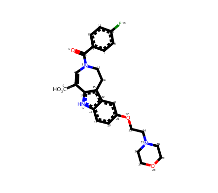 O=C(O)C1=CN(C(=O)c2ccc(F)cc2)CCc2c1[nH]c1ccc(OCCN3CCOCC3)cc21